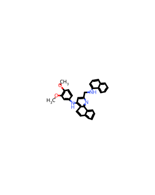 COc1ccc(Nc2cc(CNc3cccc4ccccc34)nc3c2ccc2ccccc23)cc1OC